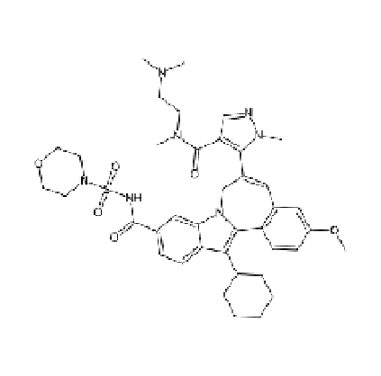 COc1ccc2c(c1)C=C(c1c(C(=O)N(C)CCN(C)C)cnn1C)Cn1c-2c(C2CCCCC2)c2ccc(C(=O)NS(=O)(=O)N3CCOCC3)cc21